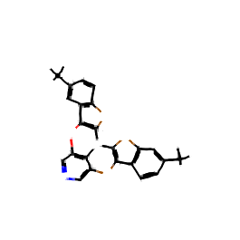 CC(C)(C)c1ccc2c3c(sc2c1)B1c2sc4ccc(C(C)(C)C)cc4c2Oc2cncc(c21)S3